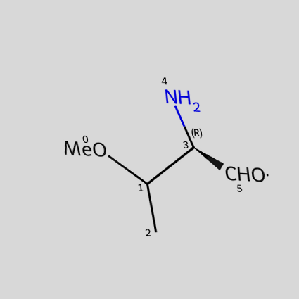 COC(C)[C@@H](N)[C]=O